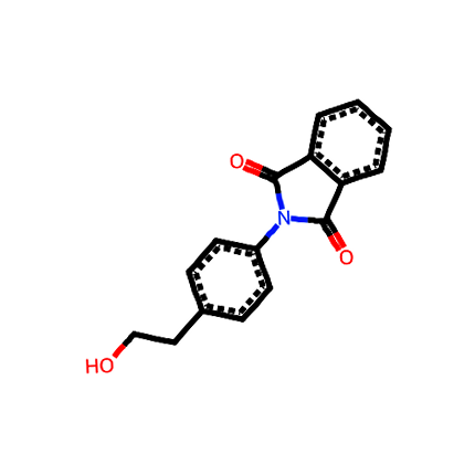 O=C1c2ccccc2C(=O)N1c1ccc(CCO)cc1